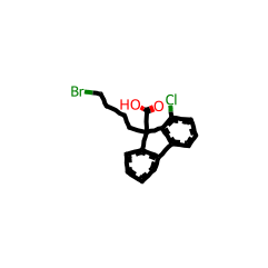 O=C(O)C1(CCCCBr)c2ccccc2-c2cccc(Cl)c21